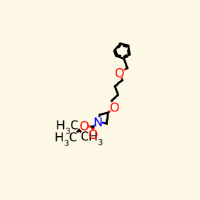 CC(C)(C)OC(=O)N1CC(OCCCCOCc2ccccc2)C1